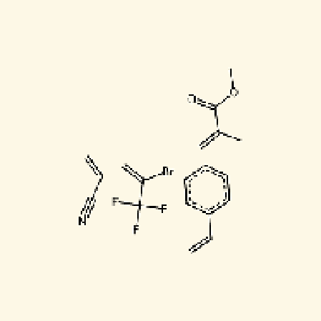 C=C(Br)C(F)(F)F.C=C(C)C(=O)OC.C=CC#N.C=Cc1ccccc1